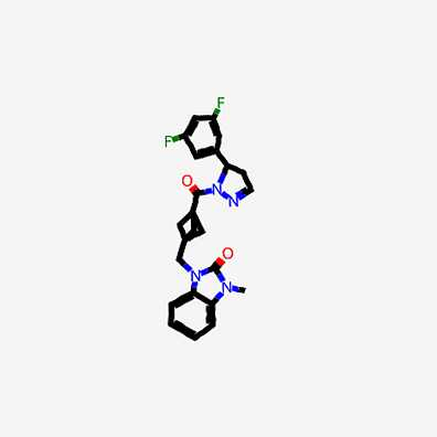 Cn1c(=O)n(CC23CC(C(=O)N4N=CCC4c4cc(F)cc(F)c4)(C2)C3)c2ccccc21